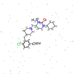 COc1ccc(Cl)c(CC2CCN(CC3CCN(C4CCCCC4)C(=O)N3C)CC2)c1